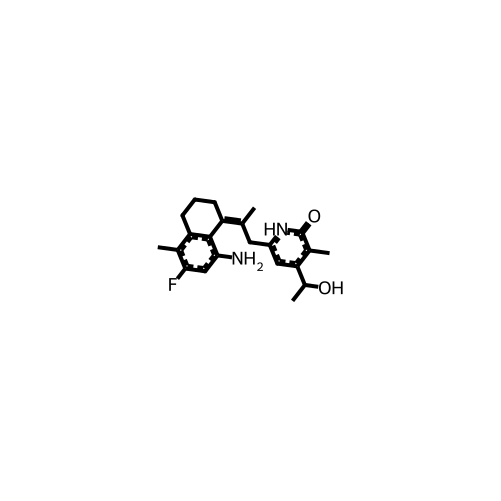 C/C(Cc1cc(C(C)O)c(C)c(=O)[nH]1)=C1\CCCc2c(C)c(F)cc(N)c21